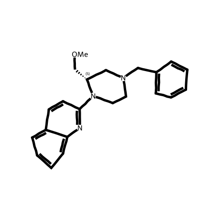 COC[C@@H]1CN(Cc2ccccc2)CCN1c1ccc2ccccc2n1